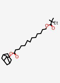 CCC(C)(C)C(=O)OCCCCCCCCCCCCC(=O)OC12CC3CC(CC(C3)C1)C2